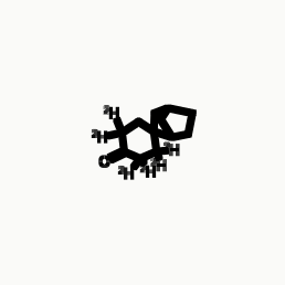 [2H]C1([2H])CC2(CC3CCC2C3)C([2H])([2H])C([2H])([2H])C1=O